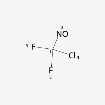 O=NC(F)(F)Cl